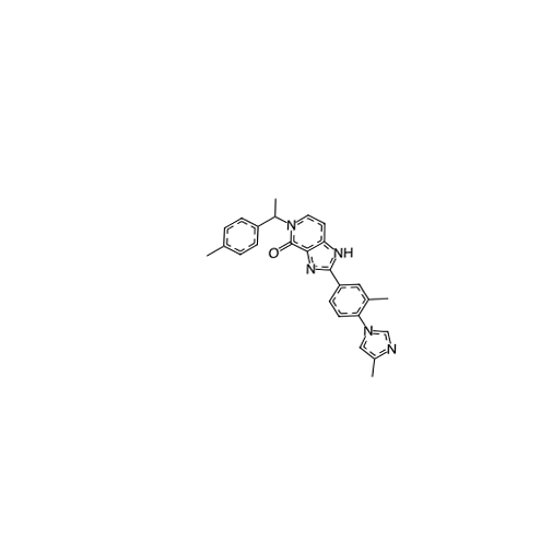 Cc1ccc(C(C)n2ccc3[nH]c(-c4ccc(-n5cnc(C)c5)c(C)c4)nc3c2=O)cc1